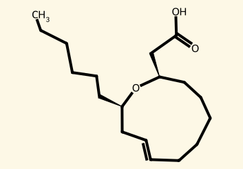 CCCCCC[C@@H]1C/C=C/CCCCC[C@H](CC(=O)O)O1